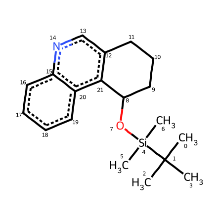 CC(C)(C)[Si](C)(C)OC1CCCc2cnc3ccccc3c21